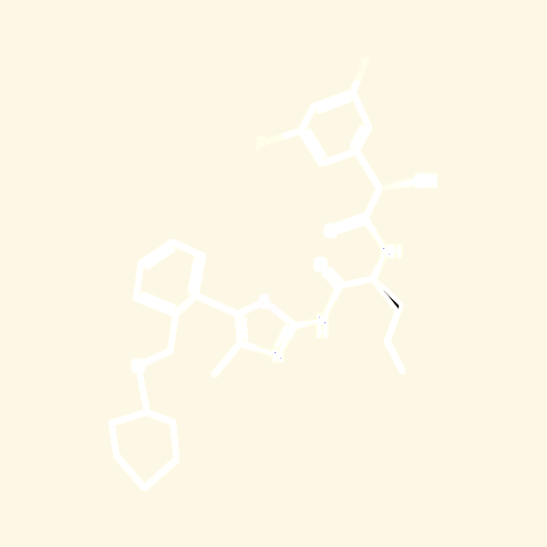 CCC[C@H](NC(=O)[C@@H](O)c1cc(F)cc(F)c1)C(=O)Nc1nc(C)c(-c2ccccc2COC2CCCCC2)s1